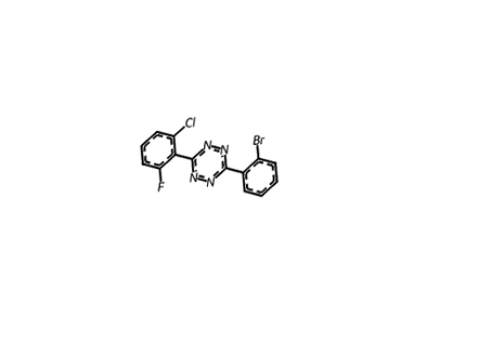 Fc1cccc(Cl)c1-c1nnc(-c2ccccc2Br)nn1